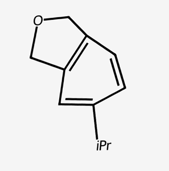 CC(C)c1ccc2c(c1)COC2